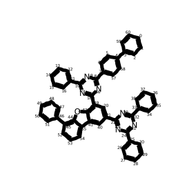 c1ccc(-c2ccc(-c3nc(-c4ccccc4)nc(-c4cc(-c5nc(-c6ccccc6)nc(-c6ccccc6)n5)cc5c4oc4c(-c6ccccc6)cccc45)n3)cc2)cc1